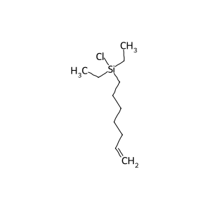 C=CCCCCC[Si](Cl)(CC)CC